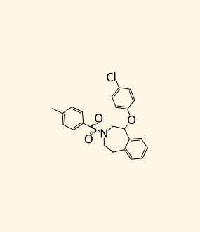 Cc1ccc(S(=O)(=O)N2CCc3ccccc3C(Oc3ccc(Cl)cc3)C2)cc1